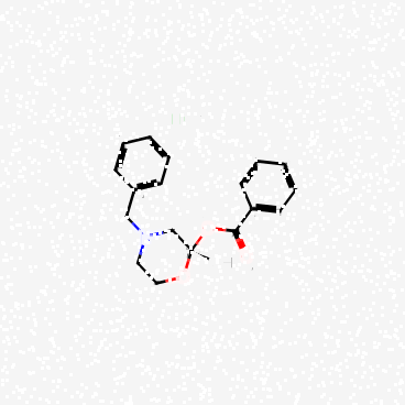 C[C@]1(OC(=O)c2ccccc2)CN(Cc2ccccc2)CCO1.Cl